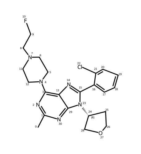 Cc1nc(N2CCN(CCF)CC2)c2nc(-c3ccccc3Cl)n([C@@H]3CCOC3)c2n1